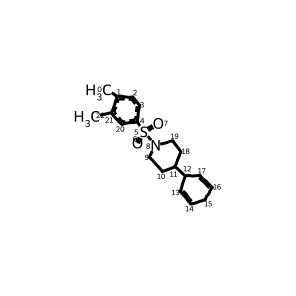 Cc1ccc(S(=O)(=O)N2CCC(C3C=CCC=C3)CC2)cc1C